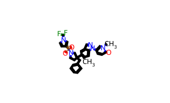 Cc1cc2c(cnn2-c2ccc(=O)n(C)c2)cc1C1(Cc2ccccc2)CCN(S(=O)(=O)c2ccn(C(F)F)c2)C1